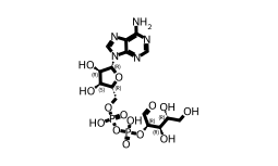 Nc1ncnc2c1ncn2[C@@H]1O[C@H](COP(=O)(O)OP(=O)(O)O[C@@H](C=O)[C@H](O)[C@H](O)CO)[C@@H](O)[C@H]1O